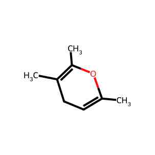 CC1=CCC(C)=C(C)O1